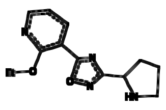 CCOc1ncccc1-c1nc(C2CCCN2)no1